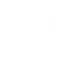 CC(=O)c1ccccc1C(C)Cc1ccccc1